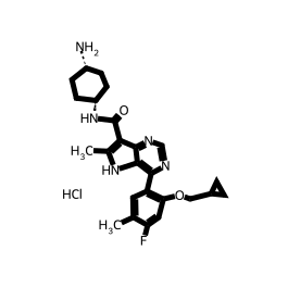 Cc1cc(-c2ncnc3c(C(=O)N[C@H]4CC[C@@H](N)CC4)c(C)[nH]c23)c(OCC2CC2)cc1F.Cl